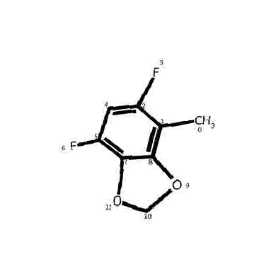 Cc1c(F)cc(F)c2c1OCO2